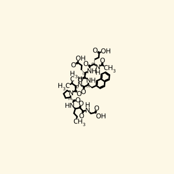 CCCC(NC(=O)[C@@H]1CCCN1C(=O)[C@@H](NC(=O)[C@H](Cc1ccc2ccccc2c1)NC(=O)[C@H](CCC(=O)O)NC(=O)[C@H](CCC(=O)O)NC(C)=O)C(C)C)C(=O)C(=O)NCC(=O)O